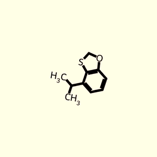 CC(C)c1cccc2c1SCO2